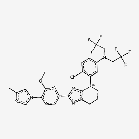 COc1nc(-c2nc3n(n2)CCC[C@@H]3c2cc(N(CC(F)(F)F)CC(F)(F)F)ccc2Cl)ccc1-n1cnc(C)c1